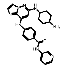 NC1CCC(Nc2cc(Nc3ccc(C(=O)Nc4cccnc4)cc3)c3nccn3n2)CC1